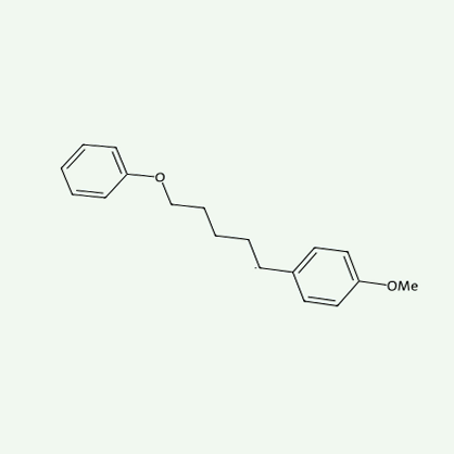 COc1ccc([CH]CCCCOc2ccccc2)cc1